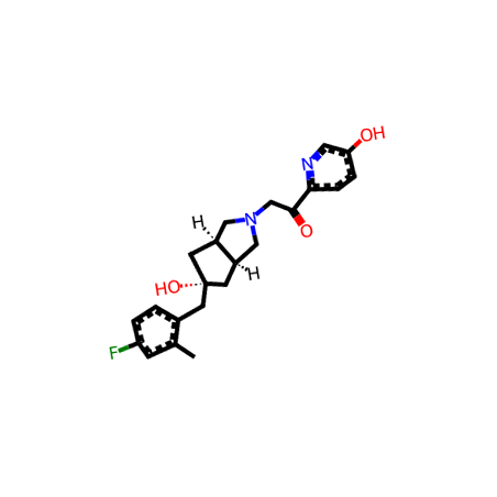 Cc1cc(F)ccc1C[C@@]1(O)C[C@H]2CN(CC(=O)c3ccc(O)cn3)C[C@H]2C1